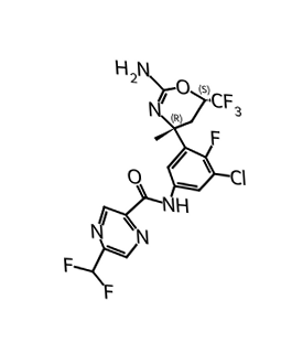 C[C@]1(c2cc(NC(=O)c3cnc(C(F)F)cn3)cc(Cl)c2F)C[C@@H](C(F)(F)F)OC(N)=N1